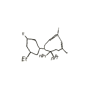 CCCC1(CCC)CC(C)=CC(C)=CC1C1CC(F)CC(CC)C1